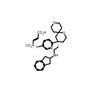 Fc1ccc([C@]2(CCNC3Cc4ccccc4C3)CCOC3(CCOCC3)C2)nc1.O=C(O)/C=C/C(=O)O